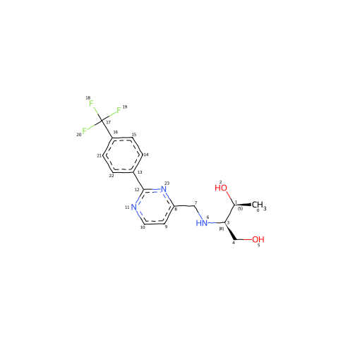 C[C@H](O)[C@@H](CO)NCc1ccnc(-c2ccc(C(F)(F)F)cc2)n1